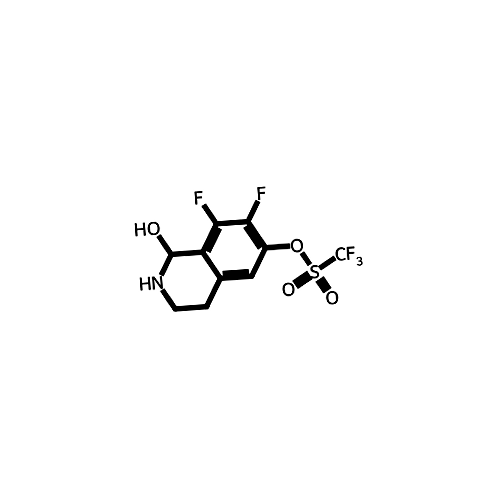 O=S(=O)(Oc1cc2c(c(F)c1F)C(O)NCC2)C(F)(F)F